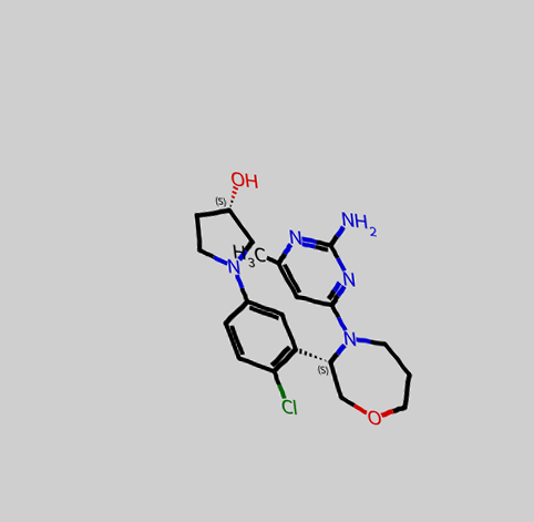 Cc1cc(N2CCCOC[C@@H]2c2cc(N3CC[C@H](O)C3)ccc2Cl)nc(N)n1